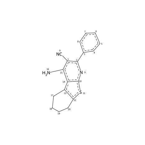 N#Cc1c(-c2ccccc2)nc2sc3c(c2c1N)CCCC3